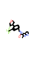 Cc1nc2ncccc2cc1C(=O)NCc1ccc(C2=CCOCC2)c(C(F)(F)F)c1